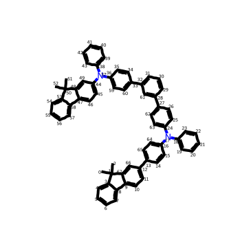 CC1(C)c2ccccc2-c2ccc(-c3ccc(N(c4ccccc4)c4ccc(-c5cccc(-c6ccc(N(c7ccccc7)c7ccc8c(c7)C(C)(C)c7ccccc7-8)cc6)c5)cc4)cc3)cc21